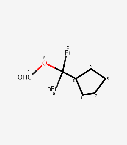 CCCC(CC)(OC=O)C1CCCC1